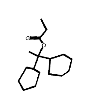 CCC(=O)OC(C)(C1CCCCC1)C1CCCCC1